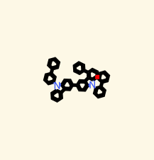 c1ccc(-c2cccc(-n3c4ccccc4c4cc(-c5ccc6c(c5)c5c(-c7ccccc7)cccc5n6-c5ccccc5-c5ccccc5)ccc43)c2)cc1